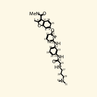 CNC(=O)c1c(C)oc2cc(Oc3ccnc(Nc4cccc(NC(=O)CNCCCN(C)C)c4)n3)ccc12